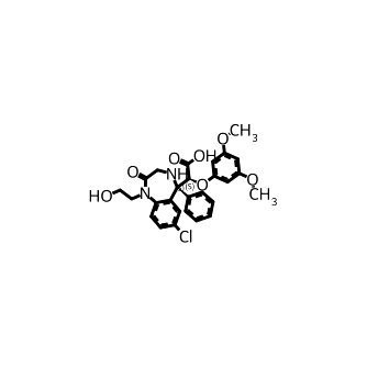 COc1cc(OC)cc(O[C@H](C(=O)O)[C@@]2(c3ccccc3)NCC(=O)N(CCO)c3ccc(Cl)cc32)c1